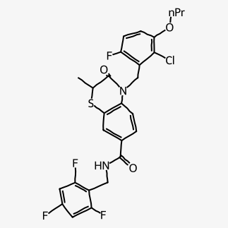 CCCOc1ccc(F)c(CN2C(=O)C(C)Sc3cc(C(=O)NCc4c(F)cc(F)cc4F)ccc32)c1Cl